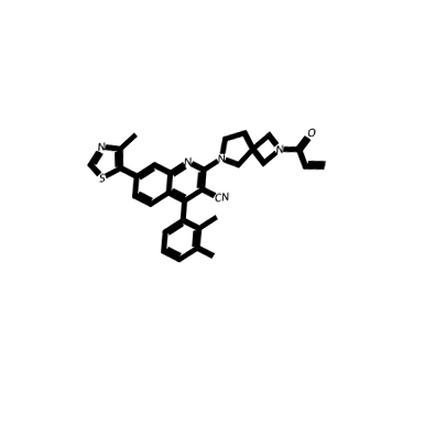 C=CC(=O)N1CC2(CCN(c3nc4cc(-c5scnc5C)ccc4c(-c4cccc(C)c4C)c3C#N)C2)C1